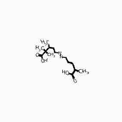 CC(CCCN=NCCC(C)C(C)(C)C(=O)O)C(=O)O